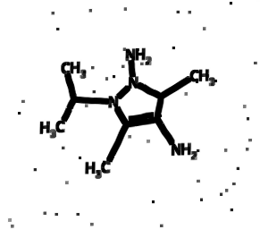 CC1=C(N)C(C)N(N)N1C(C)C